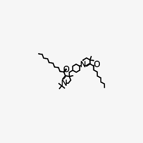 CCCCCCCCCC(=O)C1=CN(C(C)(C)C)CCC1(C)CC1CCC(N2C=C(C(=O)CCCCCCC)C(C)(C)CC2)CC1